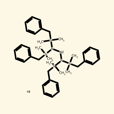 C[Si](C)(Cc1ccccc1)[N]([Nd][N]([Si](C)(C)Cc1ccccc1)[Si](C)(C)Cc1ccccc1)[Si](C)(C)Cc1ccccc1.I